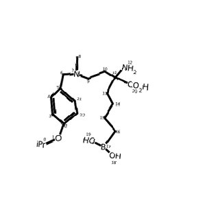 CC(C)Oc1ccc(CN(C)CCC(N)(CCCCB(O)O)C(=O)O)cc1